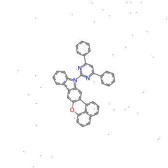 c1ccc(-c2cc(-c3ccccc3)nc(-n3c4ccccc4c4cc5c(cc43)-c3cccc4cccc(c34)O5)n2)cc1